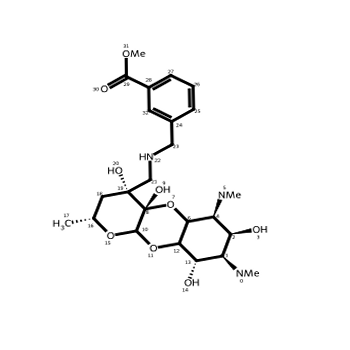 CN[C@@H]1[C@H](O)[C@H](NC)C2O[C@]3(O)C(OC2[C@H]1O)O[C@H](C)C[C@@]3(O)CNCc1cccc(C(=O)OC)c1